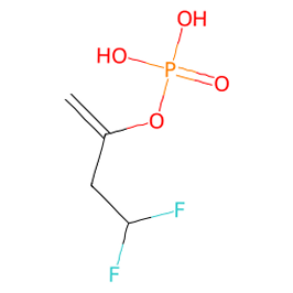 C=C(CC(F)F)OP(=O)(O)O